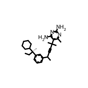 CC[C@](C)(c1cccc(C(C)C#CC(C)(C)c2c(C)nc(N)nc2N)c1)C1CCCCC1